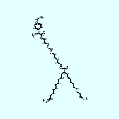 C=CCCCCCCCCCC(CCCCCCCCCC=C)C(=O)OCCOCCOCCOCCOC(=O)[C@@H](C)c1ccc(CC(C)C)cc1